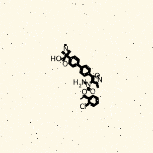 Cc1noc(-c2ccc(-c3ccc(C4(C(=O)O)CN(C)C4)cc3)cc2)c1N(N)C(=O)O[C@H](C)c1ccccc1Cl